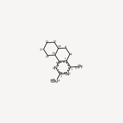 CC(C)c1nc(C(C)(C)C)nc2c1CCC1CCCCC21